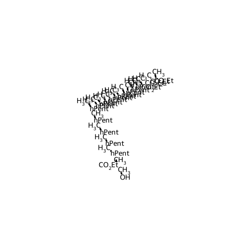 CCCCCC.CCCCCC.CCCCCC.CCCCCC.CCCCCC.CCCCCC.CCCCCC.CCCCCC.CCCCCC.CCCCCC.CCCCCC.CCCCCC.CCCCCC.CCCCCC.CCCCCC.CCOC(C)=O.CCOC(C)=O.CCOC(C)=O.CCOC(C)=O.CCOC(C)=O.CO